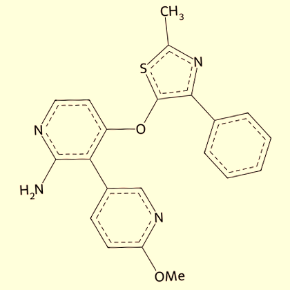 COc1ccc(-c2c(Oc3sc(C)nc3-c3ccccc3)ccnc2N)cn1